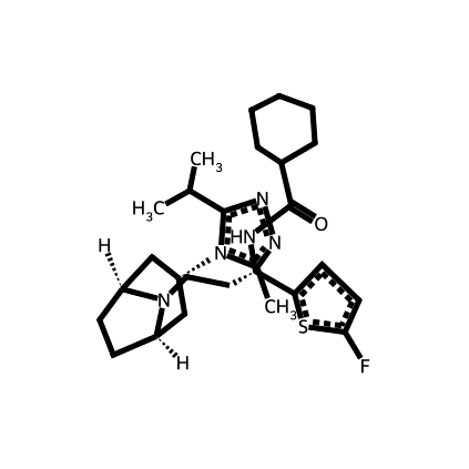 Cc1nnc(C(C)C)n1[C@@H]1C[C@H]2CC[C@@H](C1)N2CC[C@H](NC(=O)C1CCCCC1)c1ccc(F)s1